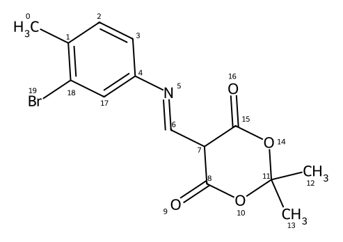 Cc1ccc(N=CC2C(=O)OC(C)(C)OC2=O)cc1Br